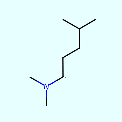 CC(C)CC[CH]N(C)C